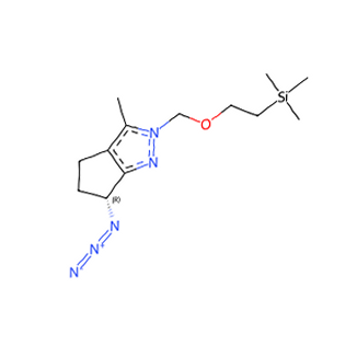 Cc1c2c(nn1COCC[Si](C)(C)C)[C@H](N=[N+]=[N-])CC2